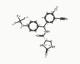 N#Cc1cc(C(NC(=O)[C@@H]2CNC(=O)N2)c2ccc(OC(F)(F)F)cc2)ccc1Cl